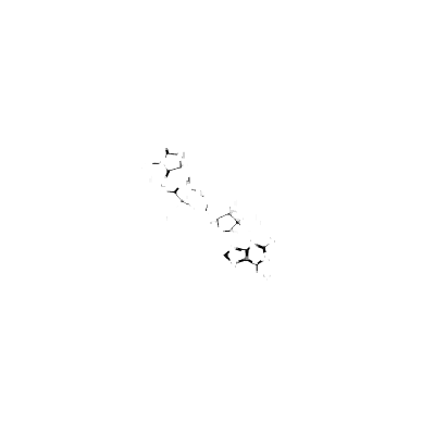 COc1nc(N)nc2c1ncn2[C@@H]1O[C@H](CO[P@@](=O)(N[C@@H](C)C(=O)OC(C)C)SC[C@H]2NC(=O)N(C)C2=O)[C@@H](O)[C@@]1(C)O